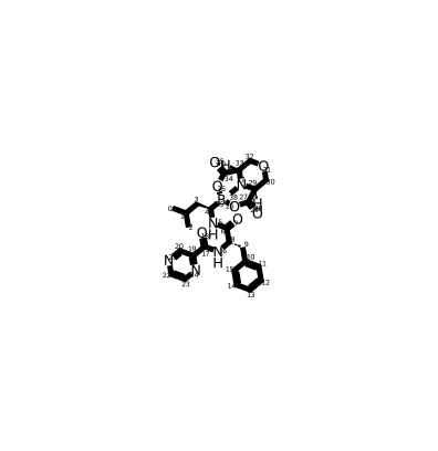 CC(C)C[C@H](NC(=O)[C@H](Cc1ccccc1)NC(=O)c1cnccn1)B1OC(=O)[C@@H]2COC[C@@H](C(=O)O1)N2C